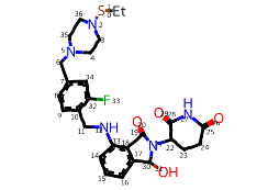 CCSN1CCN(Cc2ccc(CNc3cccc4c3C(=O)N(C3CCC(=O)NC3=O)C4O)c(F)c2)CC1